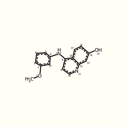 COc1cccc(Nc2ccnc3cc(O)ccc23)c1